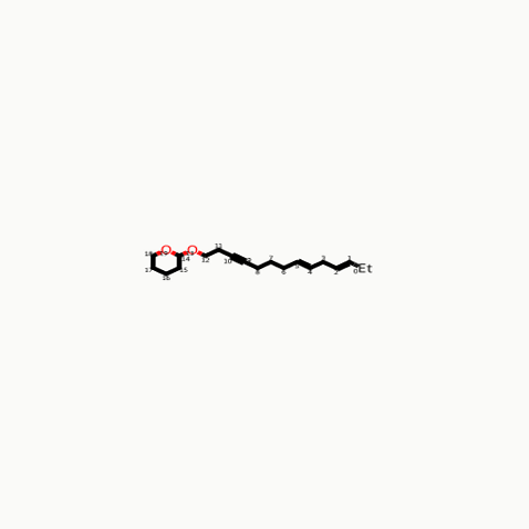 CCC=CCC=CCCCC#CCCOC1CCCCO1